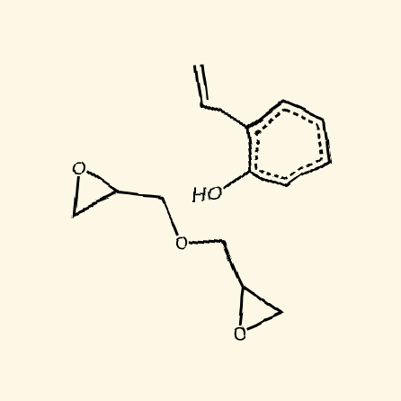 C(OCC1CO1)C1CO1.C=Cc1ccccc1O